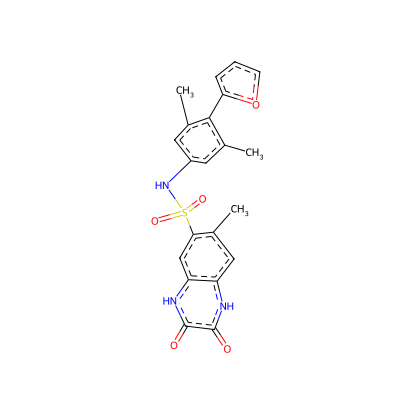 Cc1cc2[nH]c(=O)c(=O)[nH]c2cc1S(=O)(=O)Nc1cc(C)c(-c2ccco2)c(C)c1